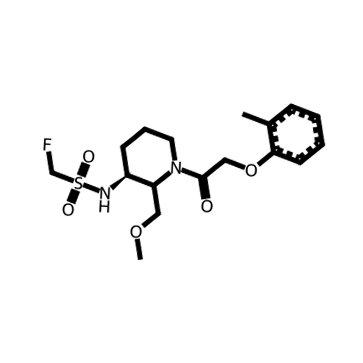 COCC1[C@@H](NS(=O)(=O)CF)CCCN1C(=O)COc1ccccc1C